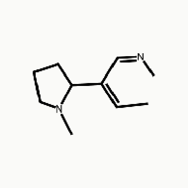 C/C=C(\C=N/C)C1CCCN1C